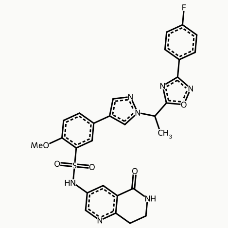 COc1ccc(-c2cnn(C(C)c3nc(-c4ccc(F)cc4)no3)c2)cc1S(=O)(=O)Nc1cnc2c(c1)C(=O)NCC2